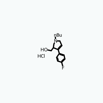 CCCCN1CC=C(c2ccc(F)cc2)C(CO)C1.Cl